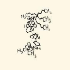 CCCCN(OS(=O)(=O)ON1C(=O)N2C[C@@H]1CC[C@H]2c1nnc([C@H]2CC[C@@H](NC(=O)OC(C)(C)C)C2)o1)C(CCC)(CCCC)CCCC